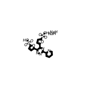 O=S(=O)(O)c1ccc(-c2nnc(-c3ccccn3)nc2-c2ccc(S(=O)(=O)O)o2)o1.[NaH].[NaH]